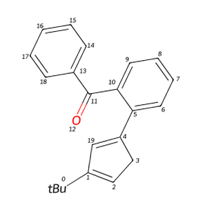 CC(C)(C)C1=CCC(c2ccccc2C(=O)c2ccccc2)=C1